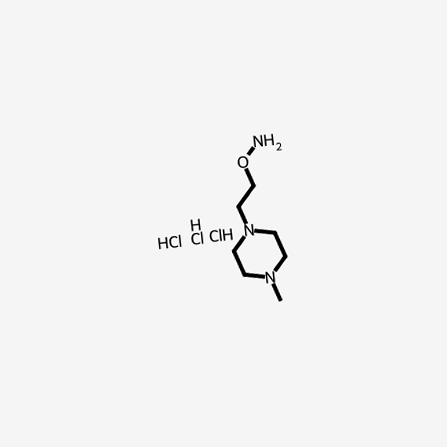 CN1CCN(CCON)CC1.Cl.Cl.Cl